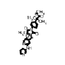 COC(=O)C(C)(C)c1ccc(N2C(=O)N(Cc3ccnc(Nc4cccnc4)c3)C(C)(C)C2=O)cc1